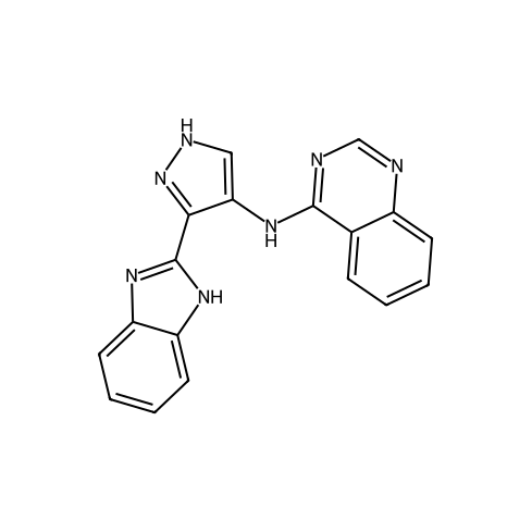 c1ccc2[nH]c(-c3n[nH]cc3Nc3ncnc4ccccc34)nc2c1